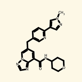 Cn1cc(-c2ccc(Cc3cc(C(=O)NC4CCOCC4)c4ncnn4c3)cn2)cn1